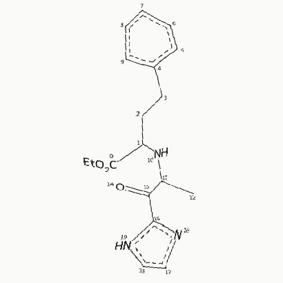 CCOC(=O)C(CCc1ccccc1)NC(C)C(=O)c1ncc[nH]1